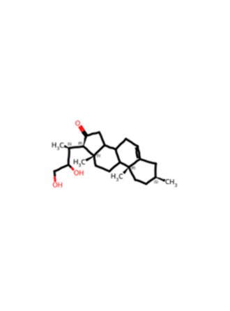 C[C@H]1CC[C@@]2(C)C(=CCC3C2CC[C@@]2(C)C3CC(=O)[C@@H]2[C@H](C)C(O)CO)C1